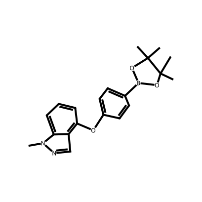 Cn1ncc2c(Oc3ccc(B4OC(C)(C)C(C)(C)O4)cc3)cccc21